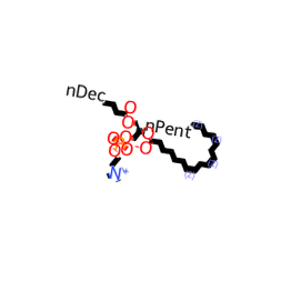 CCCCC/C=C\C/C=C\C/C=C\C/C=C\CCCCCC(=O)O[C@H](COC(=O)CCCCCCCCCCCCC)COP(=O)([O-])OCC[N+](C)(C)C